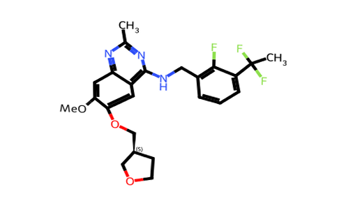 COc1cc2nc(C)nc(NCc3cccc(C(C)(F)F)c3F)c2cc1OC[C@H]1CCOC1